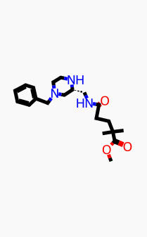 COC(=O)C(C)(C)CCC(=O)NC[C@@H]1CN(Cc2ccccc2)CCN1